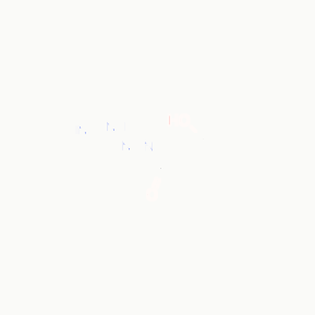 O=C(NN1C=CNN1)c1ccccc1O